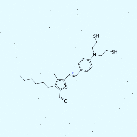 CCCCCCc1c(C=O)sc(/C=C/c2ccc(N(CCS)CCS)cc2)c1C